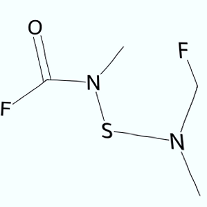 CN(CF)SN(C)C(=O)F